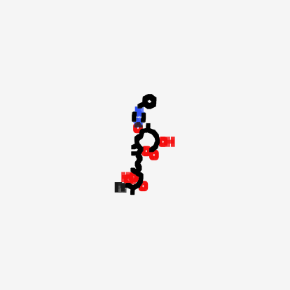 CCC(O)C(C)C1OC1CC(C)(O)/C=C/C=C(\C)C1OC(=O)CC(O)CCC(C)C(ON2CCN(Cc3ccccc3)CC2)/C=C/C1C